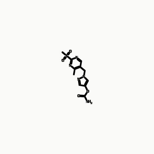 Cc1nc(S(C)(=O)=O)ncc1Cn1cc(OC(N)=O)cn1